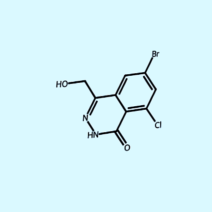 O=c1[nH]nc(CO)c2cc(Br)cc(Cl)c12